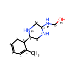 CC1=CC=CCC1[C@@H]1CNC(NCO)CN1